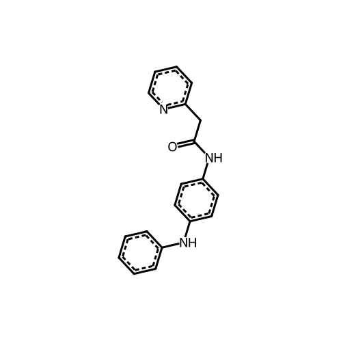 O=C(Cc1ccccn1)Nc1ccc(Nc2ccccc2)cc1